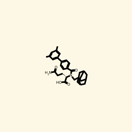 Cc1cc(C)cc(-c2ccc(C(=O)N(CC34CC5CC(CC(C5)C3)C4)[C@@H](CCC(N)=O)C(=O)O)cc2)c1